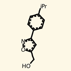 CC(C)c1ccc(-c2cc(CO)on2)cc1